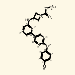 CC(C)(C)OC(=O)N1CC(Nc2cncc(-c3cnc(Oc4ccc(Cl)cc4)nc3)n2)C1